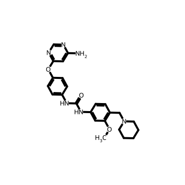 COc1cc(NC(=O)Nc2ccc(Oc3cc(N)ncn3)cc2)ccc1CN1CCCCC1